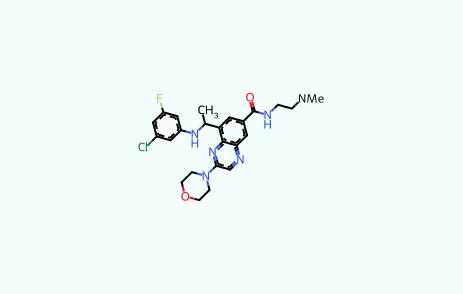 CNCCNC(=O)c1cc(C(C)Nc2cc(F)cc(Cl)c2)c2nc(N3CCOCC3)cnc2c1